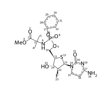 COC(=O)C(C)(C)NP(=O)(OC[C@H]1S[C@@H](n2ccc(N)nc2=O)[C@@H](F)[C@@H]1O)Oc1ccccc1